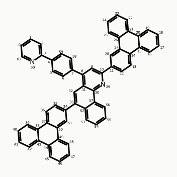 c1ccc(-c2ccc(-c3cc(-c4ccc5c6ccccc6c6ccccc6c5c4)nc4c3cc(-c3ccc5c6ccccc6c6ccccc6c5c3)c3ccccc34)cc2)nc1